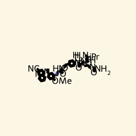 COc1ccc(N(C)c2cc(C#N)nc3ccccc23)cc1/C=C/C(=O)NOCc1ccc(NC(=O)[C@H](CCCNC(N)=O)NC(=O)[C@@H](N)C(C)C)cc1